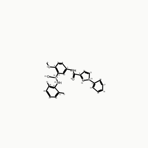 COc1ccc(NC(=O)c2ccn(-c3ccccc3)n2)cc1[S+]([O-])Nc1c(C)cccc1C